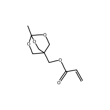 C=CC(=O)OCC12COC(C)(OC1)OC2